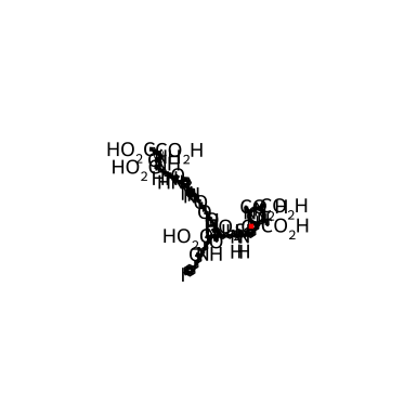 O=C(O)CC[C@H](NC(=O)NC(CCCCNC(=O)Nc1cccc(-c2cn(CCOCCOCCOCCC(=O)NC(CCCCNC(=S)Nc3ccc(CC4CN(CC(=O)O)CCN(CC(=O)O)CCN(CC(=O)O)CCN4CC(=O)O)cc3)C(=O)NC(CCCCNC(=O)CCCc3ccc(I)cc3)C(=O)O)nn2)c1)C(=O)O)C(=O)O